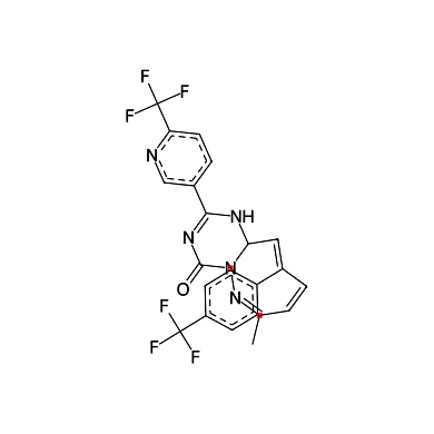 CC1=N/N2C(=O)N=C(c3ccc(C(F)(F)F)nc3)NC2/C=C(c2ccc(C(F)(F)F)cc2)/C=C\1